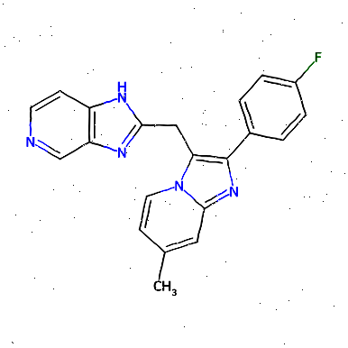 Cc1ccn2c(Cc3nc4cnccc4[nH]3)c(-c3ccc(F)cc3)nc2c1